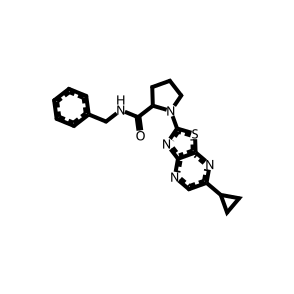 O=C(NCc1ccccc1)C1CCCN1c1nc2ncc(C3CC3)nc2s1